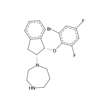 Fc1cc(F)c(O[C@H]2c3ccccc3C[C@H]2N2CCCNCC2)c(Br)c1